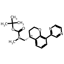 CN(C[C@@H]1CCOc2c(-c3cnccn3)cccc21)C(=O)OC(C)(C)C